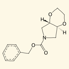 O=C(OCc1ccccc1)N1C[C@@H]2OCCO[C@H]2C1